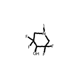 OC1C(F)(F)CN(I)CC1(F)F